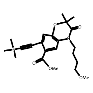 COCCCCN1C(=O)C(C)(C)Oc2cc(C#CS(C)(C)C)c(C(=O)OC)cc21